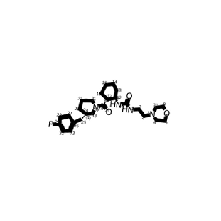 O=C(NCCN1CCOCC1)N[C@@H]1CCCC[C@H]1C(=O)N1CCC[C@@H](Cc2ccc(F)cc2)C1